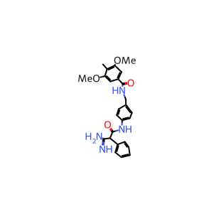 COc1cc(C(=O)NCc2ccc(NC(=O)C(C(=N)N)c3ccccc3)cc2)cc(OC)c1C